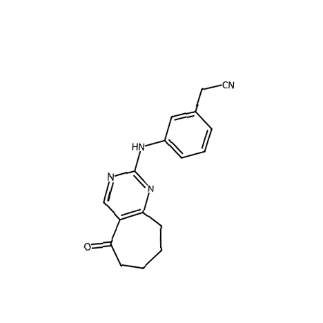 N#CCc1cccc(Nc2ncc3c(n2)CCCCC3=O)c1